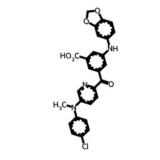 CN(c1ccc(Cl)cc1)c1ccc(C(=O)c2cc(Nc3ccc4c(c3)OCO4)cc(C(=O)O)c2)nc1